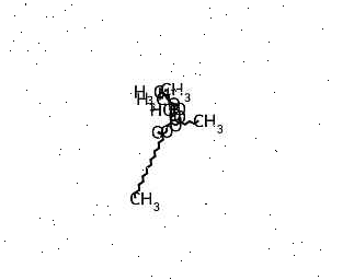 CCCCCCCCCCCCCCCC(=O)OCC(COP(=O)(O)OCC[N+](C)(C)C)OC(=O)CCCC